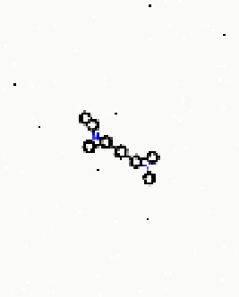 C1=CC2=CC=C(n3c4ccccc4c4cc(-c5ccc(-c6ccc7c(c6)c6ccccc6n7C6=CCCC=C6)cc5)ccc43)CC2C=C1